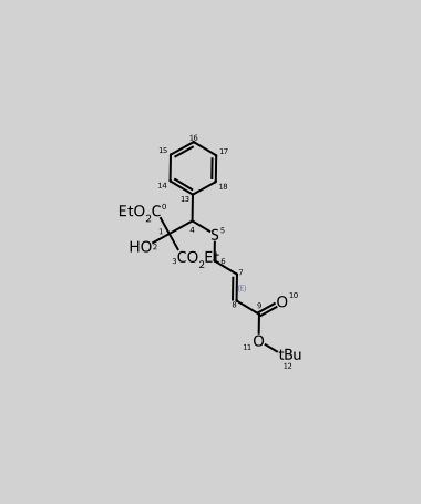 CCOC(=O)C(O)(C(=O)OCC)C(SC/C=C/C(=O)OC(C)(C)C)c1ccccc1